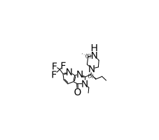 CCC[C@@H](c1nc2nc(C(F)(F)F)ccc2c(=O)n1CC)N1CCN[C@@H](C)C1